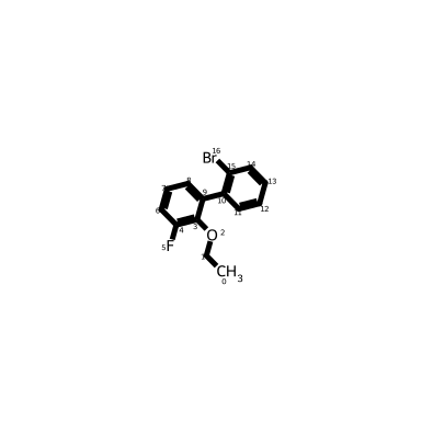 CCOc1c(F)cccc1-c1ccc[c]c1Br